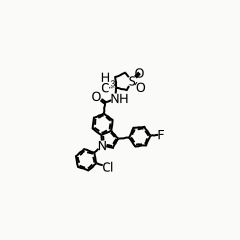 C[C@]1(NC(=O)c2ccc3c(c2)c(-c2ccc(F)cc2)cn3-c2ccccc2Cl)CCS(=O)(=O)C1